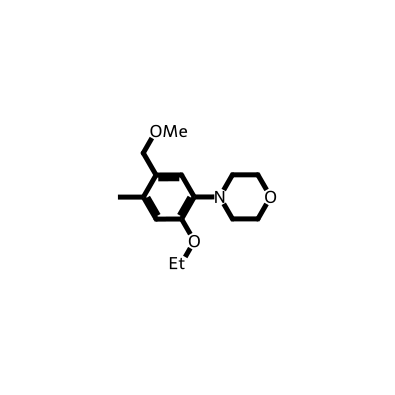 CCOc1cc(C)c(COC)cc1N1CCOCC1